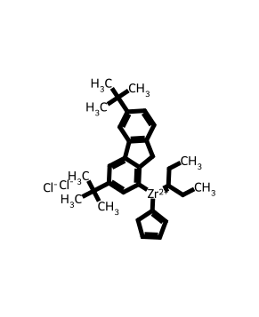 CC[C](CC)=[Zr+2]([C]1=CC=CC1)[c]1cc(C(C)(C)C)cc2c1Cc1ccc(C(C)(C)C)cc1-2.[Cl-].[Cl-]